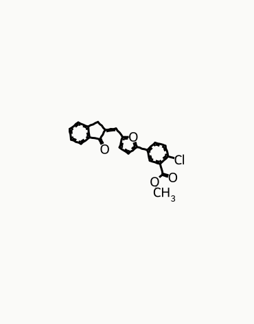 COC(=O)c1cc(-c2ccc(C=C3Cc4ccccc4C3=O)o2)ccc1Cl